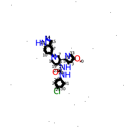 COc1ccc([C@@H]2CN(c3ccc4[nH]ncc4c3)CC[C@H]2NC(=O)Nc2ccc(Cl)cc2)nc1